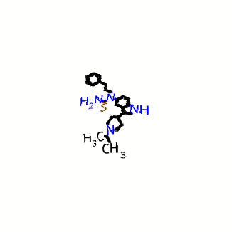 CCC(C)N1CCC(c2c[nH]c3ccc(N(CCCc4ccccc4)C(N)=S)cc23)CC1